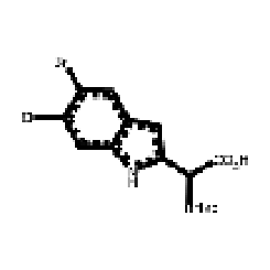 CCCCCCC(C(=O)O)c1cc2cc(Br)c(Cl)cc2[nH]1